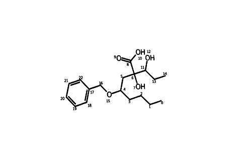 CCCCC(CC(O)(C(=O)O)C(O)CC)OCc1ccccc1